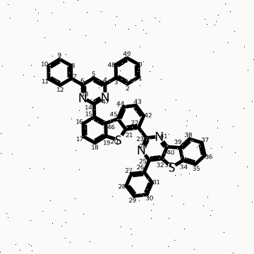 c1ccc(-c2cc(-c3ccccc3)nc(-c3cccc4sc5c(-c6nc(-c7ccccc7)c7sc8ccccc8c7n6)cccc5c34)n2)cc1